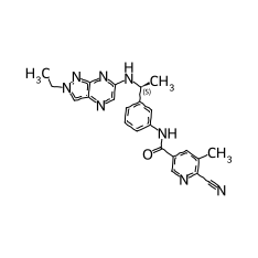 CCn1cc2ncc(N[C@@H](C)c3cccc(NC(=O)c4cnc(C#N)c(C)c4)c3)nc2n1